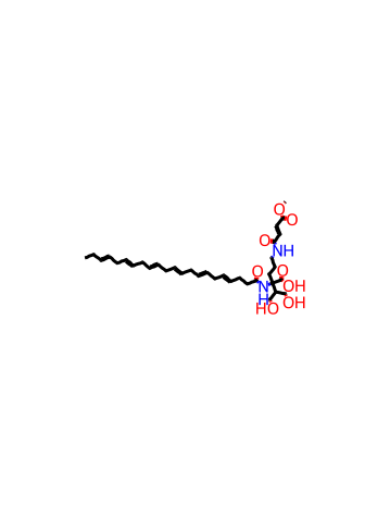 CCC=CCC=CCC=CCC=CCC=CCC=CCCC(=O)NC(CCCNC(=O)C=CC(=O)OC)(C(=O)O)C(CO)CO